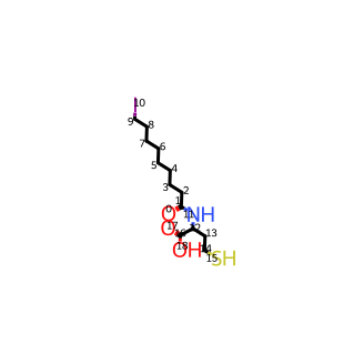 O=C(CCCCCCCCI)NC(CCS)C(=O)O